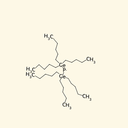 CCCC[CH2][Ge]([CH2]CCCC)([CH2]CCCC)[P][Ge]([CH2]CCCC)([CH2]CCCC)[CH2]CCCC